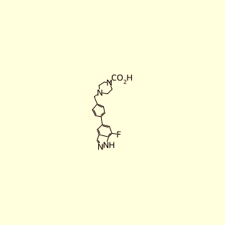 O=C(O)N1CCN(Cc2ccc(-c3cc(F)c4[nH]ncc4c3)cc2)CC1